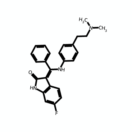 CN(C)CCc1ccc(NC(=C2C(=O)Nc3cc(F)ccc32)c2ccccc2)cc1